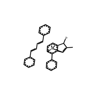 C(C=Cc1ccccc1)=Cc1ccccc1.CC1=C2c3c(ccc(c3-c3ccccc3)[Si]2(C)C)[CH]1[Zr]